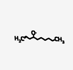 C=CCC([O])CCCCCC